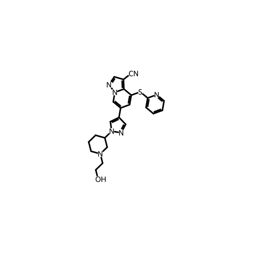 N#Cc1cnn2cc(-c3cnn(C4CCCN(CCO)C4)c3)cc(Sc3ccccn3)c12